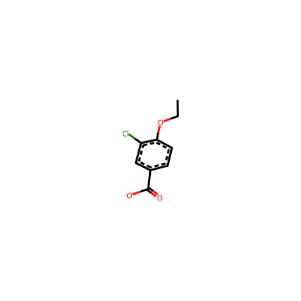 CCOc1ccc(C([O])=O)cc1Cl